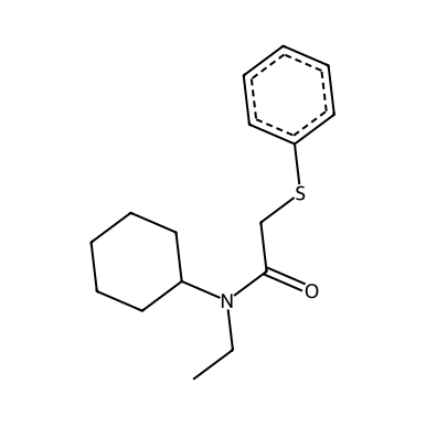 CCN(C(=O)CSc1ccccc1)C1CCCCC1